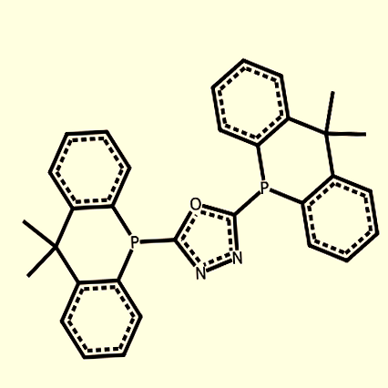 CC1(C)c2ccccc2P(c2nnc(P3c4ccccc4C(C)(C)c4ccccc43)o2)c2ccccc21